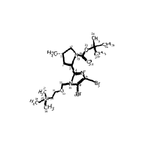 C[C@H]1CC(c2nc(Br)c(Br)n2COCC[Si](C)(C)C)N(C(=O)OC(C)(C)C)C1